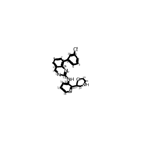 Clc1cccc(-c2cccc3cnc(Nc4cccnc4C4CNCCO4)nc23)c1